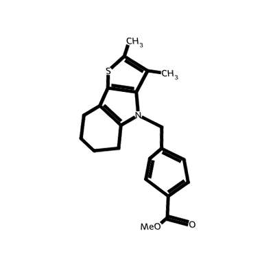 COC(=O)c1ccc(Cn2c3c(c4sc(C)c(C)c42)CCCC3)cc1